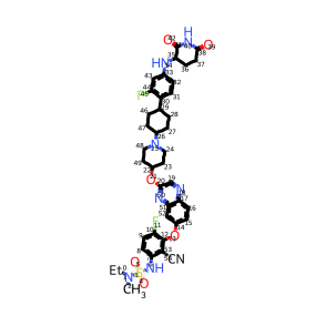 CCN(C)S(=O)(=O)Nc1ccc(F)c(Oc2ccc3ncc(OC4CCN(C5CCC(c6ccc(NC7CCC(=O)NC7=O)cc6F)CC5)CC4)nc3c2)c1C#N